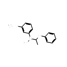 CCN(c1cccc(OC)c1)C(C)Oc1ccccc1